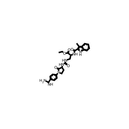 CCOC(=O)C(CNC(=O)NC1CCN(c2ccc(C(=N)N)cc2)C1=O)NC(=O)c1[nH]c2ccccc2c1C